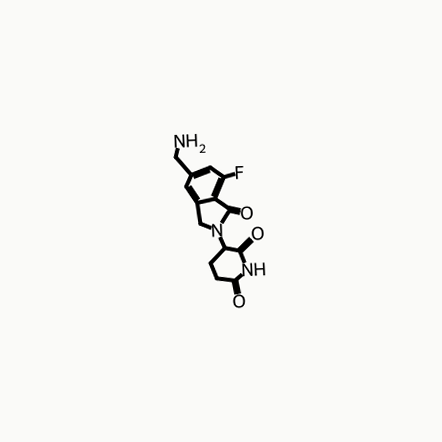 NCc1cc(F)c2c(c1)CN(C1CCC(=O)NC1=O)C2=O